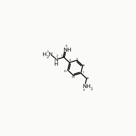 N=C(NN)c1ccc(CN)cc1